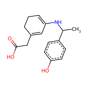 CC(NC1=CCCC(CC(=O)O)=C1)c1ccc(O)cc1